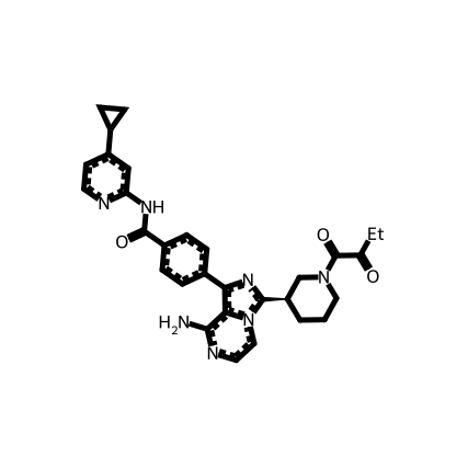 CCC(=O)C(=O)N1CCC[C@@H](c2nc(-c3ccc(C(=O)Nc4cc(C5CC5)ccn4)cc3)c3c(N)nccn23)C1